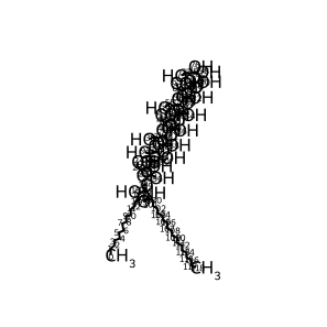 CCCCCCCCCCCCC/C=C/[C@@H](O)[C@H](CO[C@@H]1OC(CO)[C@@H](O[C@@H]2OC(CO)[C@H](O[C@@H]3OC(CO)[C@H](O)[C@H](O[C@H]4OC(CO)[C@H](O)[C@H](O[C@H]5OC(CO)[C@H](O)[C@H](O[C@H]6OC(CO)[C@H](O)[C@H](O[C@H]7OC(CO)[C@H](O)[C@H](O)C7O)C6O)C5O)C4O)C3O)[C@H](O)C2O)[C@H](O)C1O)NC(=O)CCCCCCCCCCCCCCCCCCC